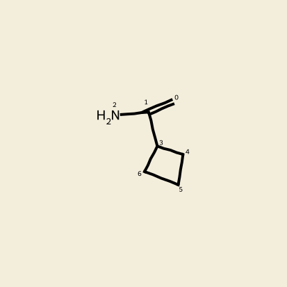 C=C(N)C1CCC1